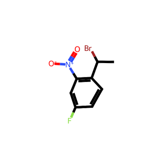 CC(Br)c1ccc(F)cc1[N+](=O)[O-]